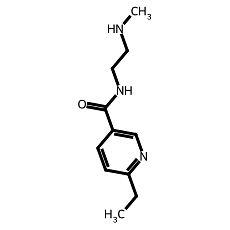 CCc1ccc(C(=O)NCCNC)cn1